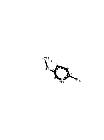 COc1ccc(F)nc1